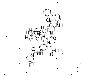 CC(=O)c1cn(CC(=O)N(CC(=O)Nc2cccc(-c3ccccc3Cl)c2F)C(C)CO[Si](C)(C)C(C)(C)C)c2ccc(NC(=O)N3CCCC(F)(F)C3)cc12